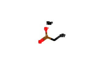 CCCCS(=O)[O-].[Na+]